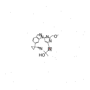 COCc1nc(N2CC3(C(C)(C)O)CC2C3)cc(-n2ncc3ccc(C4(C#N)CC4)cc32)n1